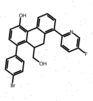 OCC1Cc2c(-c3ccc(F)cn3)cccc2-c2c(O)ccc(-c3ccc(Br)cc3)c21